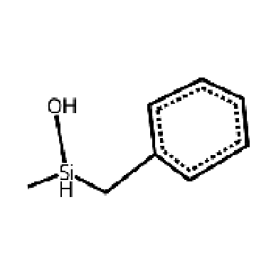 C[SiH](O)Cc1ccccc1